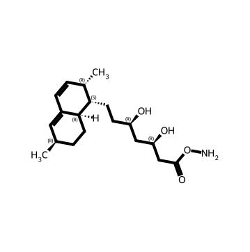 C[C@H]1C=C2C=C[C@H](C)[C@H](CC[C@@H](O)C[C@@H](O)CC(=O)ON)[C@H]2CC1